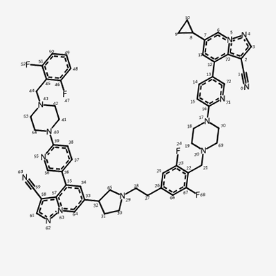 N#Cc1cnn2cc(C3CC3)cc(-c3ccc(N4CCN(Cc5c(F)cc(CCN6CCC(c7cc(-c8ccc(N9CCN(Cc%10c(F)cccc%10F)CC9)nc8)c8c(C#N)cnn8c7)C6)cc5F)CC4)nc3)c12